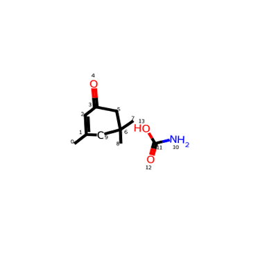 CC1=CC(=O)CC(C)(C)C1.NC(=O)O